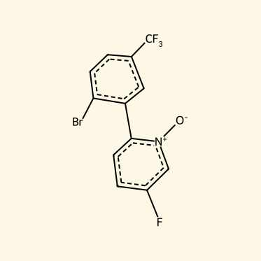 [O-][n+]1cc(F)ccc1-c1cc(C(F)(F)F)ccc1Br